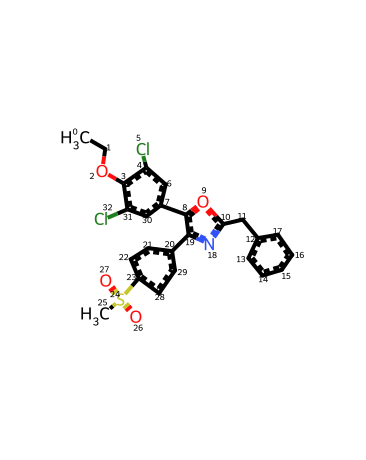 CCOc1c(Cl)cc(-c2oc(Cc3ccccc3)nc2-c2ccc(S(C)(=O)=O)cc2)cc1Cl